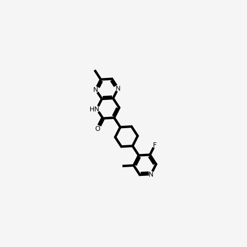 Cc1cnc2cc(C3CCC(c4c(C)cncc4F)CC3)c(=O)[nH]c2n1